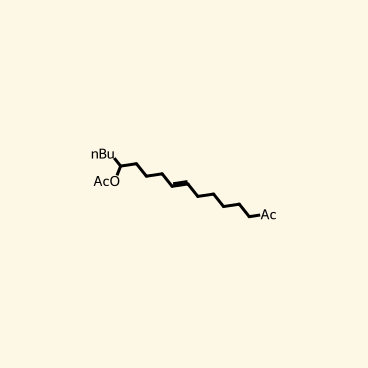 CCCCC(CCCC=CCCCCCC(C)=O)OC(C)=O